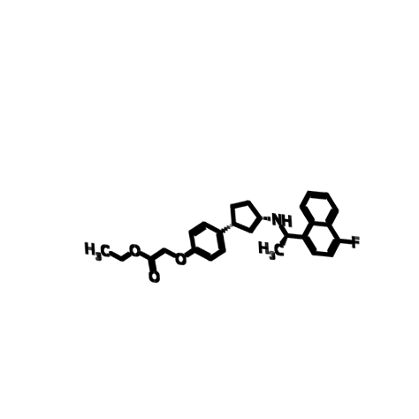 CCOC(=O)COc1ccc([C@@H]2CC[C@H](N[C@H](C)c3ccc(F)c4ccccc34)C2)cc1